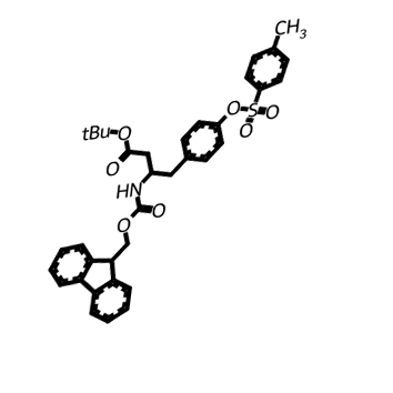 Cc1ccc(S(=O)(=O)Oc2ccc(CC(CC(=O)OC(C)(C)C)NC(=O)OCC3c4ccccc4-c4ccccc43)cc2)cc1